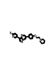 Fc1ccc(-c2cnn3cc(-c4ccc(OCCN5CCCCC5)cc4)cnc23)cn1